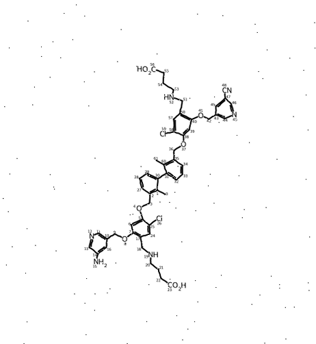 Cc1c(COc2cc(OCc3cncc(N)c3)c(CNCCCC(=O)O)cc2Cl)cccc1-c1cccc(COc2cc(OCc3cncc(C#N)c3)c(CNCCCC(=O)O)cc2Cl)c1C